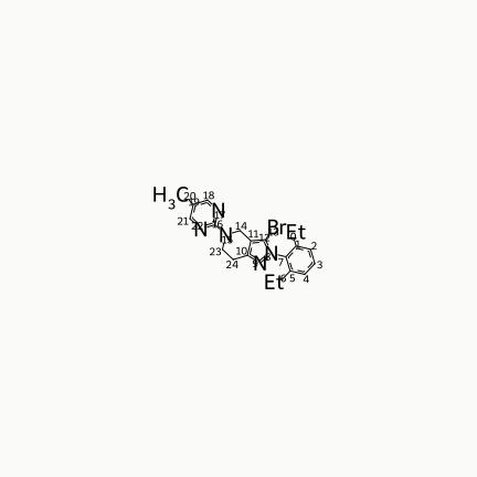 CCc1cccc(CC)c1-n1nc2c(c1Br)CN(c1ncc(C)cn1)CC2